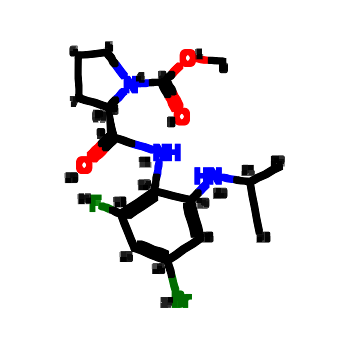 COC(=O)N1CCC[C@@H]1C(=O)Nc1c(F)cc(Br)cc1NC(C)C